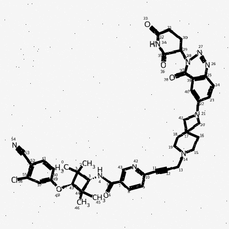 CC1(C)[C@H](NC(=O)c2ccc(C#CCN3CCC4(CC3)CN(c3ccc5nnn(C6CCC(=O)NC6=O)c(=O)c5c3)C4)nc2)C(C)(C)[C@H]1Oc1ccc(C#N)c(Cl)c1